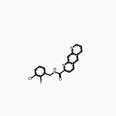 O=C(NCc1cccc(Cl)c1F)c1ccc2cc3cccnc3cc2n1